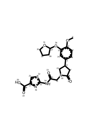 COc1ccc(C2CC(=O)N(CC(=O)Nc3nc(C(=O)O)cs3)C2)cc1OC1CCCO1